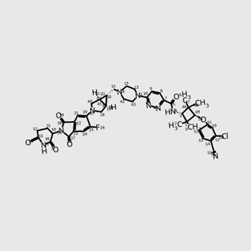 CC1(C)[C@H](NC(=O)c2ccc(N3CCN(C[C@@H]4[C@H]5CN(c6cc7c(cc6F)C(=O)N(C6CCC(=O)NC6=O)C7=O)C[C@@H]45)CC3)nn2)C(C)(C)[C@H]1Oc1ccc(C#N)c(Cl)c1